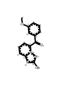 COc1cccc(C(=O)c2cccc3nc(Br)nn23)c1